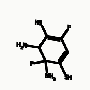 NC1C(S)=C(F)C=C(S)C1(N)F